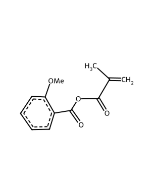 C=C(C)C(=O)OC(=O)c1ccccc1OC